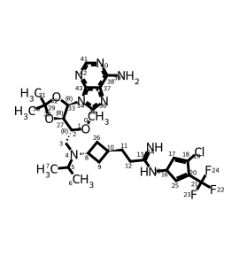 CO[C@H](CN(C(C)C)[C@H]1C[C@H](CCC(=N)NC2C=C(Cl)C(C(F)(F)F)=C2)C1)[C@H]1OC(C)(C)O[C@H]1n1cnc2c(N)ncnc21